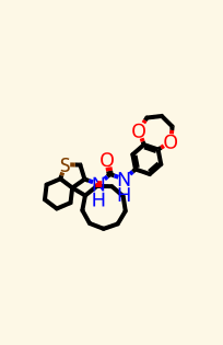 O=C(Nc1ccc2c(c1)OCCCO2)NC1CSC2CCCCC12C1CCCCCCCC1